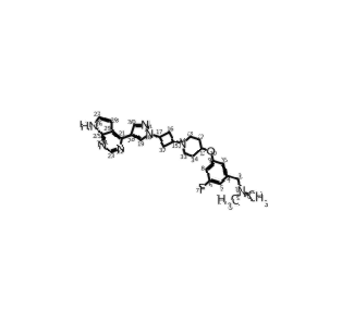 CN(C)Cc1cc(F)cc(OC2CCN(C3C[C](n4cc(-c5ncnc6[nH]ccc56)cn4)C3)CC2)c1